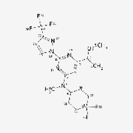 COC(C)c1cc(N(C)C2CCC(F)(F)CC2)nc(-n2ccc(C(F)(F)F)n2)n1